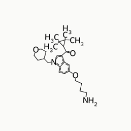 CC1(C)C(C(=O)c2cn(CC3CCOCC3)c3ccc(OCCCCN)cc23)C1(C)C